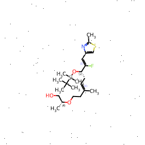 C/C(=C\C[C@H](O[Si](C)(C)C(C)(C)C)/C(F)=C/c1csc(C)n1)CCO[C@H](C)CO